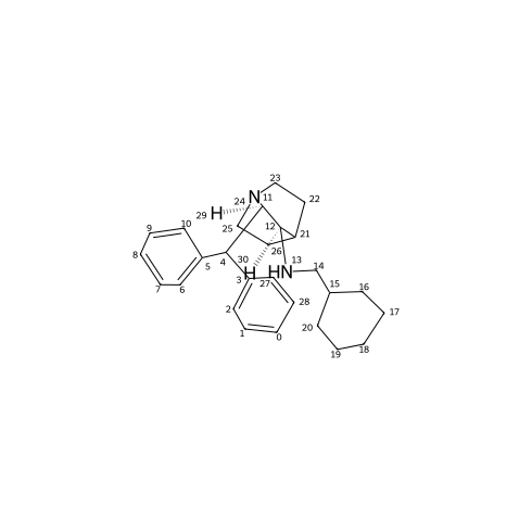 c1ccc(C(c2ccccc2)[C@@H]2[C@H](NCC3CCCCC3)C3CCN2CC3)cc1